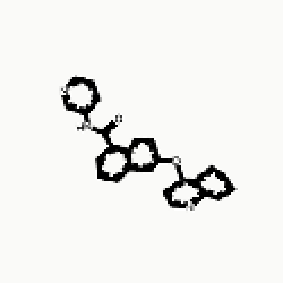 O=C(Nc1cccnc1)c1cccc2cc(Oc3ccnc4ccccc34)ccc12